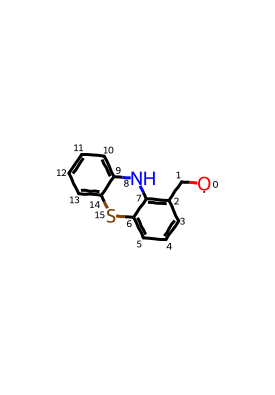 [O]Cc1cccc2c1Nc1ccccc1S2